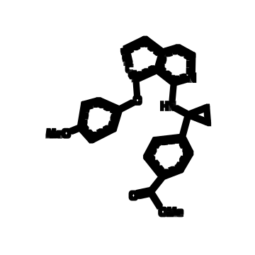 COC(=O)c1ccc(C2(Nc3nccc4cccc(Oc5ccc(OC)cc5)c34)CC2)cc1